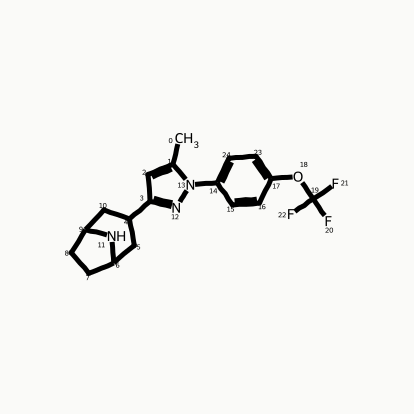 Cc1cc(C2CC3CCC(C2)N3)nn1-c1ccc(OC(F)(F)F)cc1